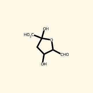 O=CC1OC(O)(C(=O)O)CC1O